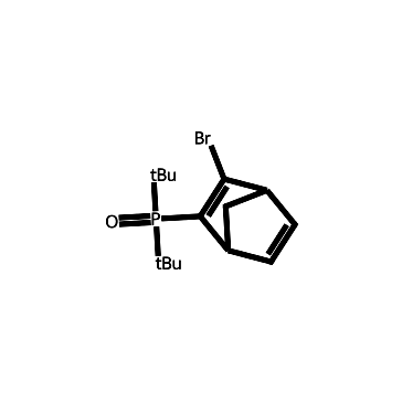 CC(C)(C)P(=O)(C1=C(Br)C2C=CC1C2)C(C)(C)C